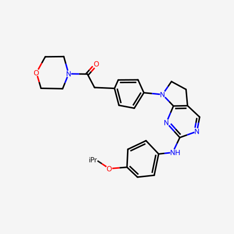 CC(C)Oc1ccc(Nc2ncc3c(n2)N(c2ccc(CC(=O)N4CCOCC4)cc2)CC3)cc1